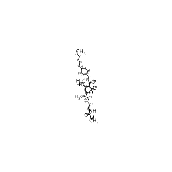 CCCCCCc1ccc(/C=C(\C)C(=O)c2c(O)cc(C(C)CC/C=C/NC(=O)OC)oc2=O)cc1